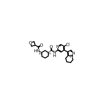 O=C(N[C@@H]1CCC[C@H](C(=O)Nc2cc(-c3cnn4c3CCCC4)c(Cl)cn2)C1)C1COC1